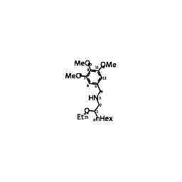 [CH2]CCCCCC(CNCc1cc(OC)c(OC)c(OC)c1)OCC